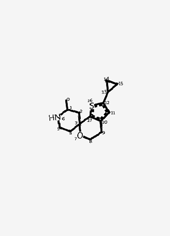 CC1CC2(CCN1)OCCc1cc(C3CC3)sc12